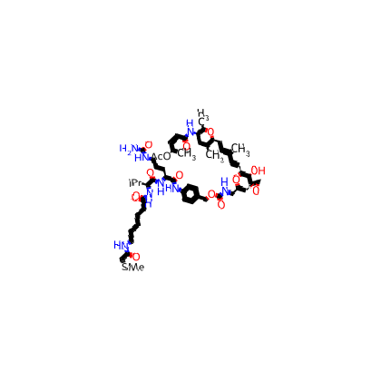 CSCC(=O)NCCCCCC(=O)N[C@H](C(=O)N[C@@H](CCCNC(N)=O)C(=O)Nc1ccc(COC(=O)NC[C@@H]2C[C@@]3(CO3)[C@H](O)[C@@H](/C=C/C(C)=C/C[C@@H]3O[C@H](C)[C@H](NC(=O)/C=C\[C@H](C)OC(C)=O)C[C@@H]3C)O2)cc1)C(C)C